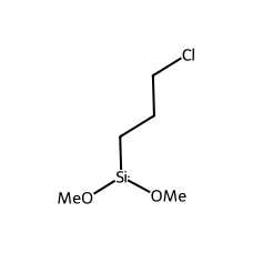 CO[Si](CCCCl)OC